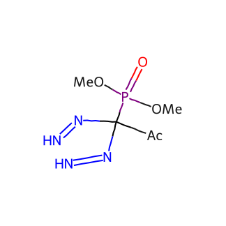 COP(=O)(OC)C(N=N)(N=N)C(C)=O